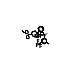 CCOC(=O)C1CC[C@@](CO[C@H](C)c2cc(C)cc(C(F)(F)F)c2)(c2ccccc2)NC1